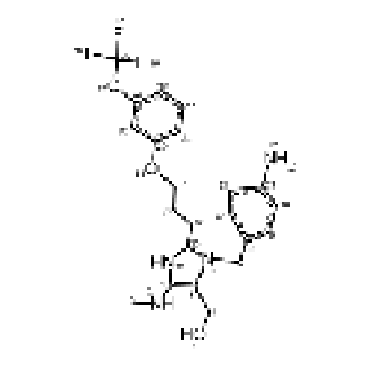 CNC1=C(CO)N(Cc2ccc(N)cc2)C(CCCOc2cccc(OC(F)(F)F)c2)N1